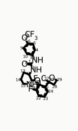 O=C(Nc1ccc(OC(F)(F)F)cc1)NC1CCCNC1Oc1c(F)cccc1C1(C(F)(F)F)CCO1